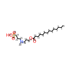 CCCCCCCCCCCCCC(=O)OCCCN(C)CCCS(=O)(=O)O